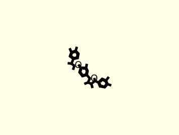 Cc1ccc(C(C)C(C)Oc2ccc(C3OC(c4ccc(C)c(C)c4)C(C)C3C)cc2C)cc1C